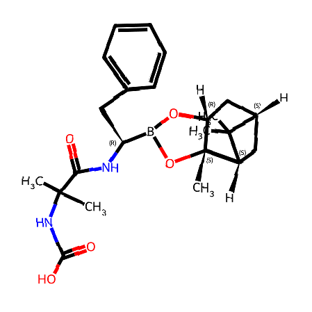 CC(C)(NC(=O)O)C(=O)N[C@@H](Cc1ccccc1)B1O[C@@H]2C[C@@H]3C[C@@H](C3(C)C)[C@]2(C)O1